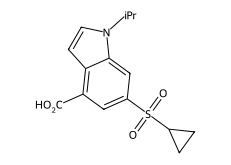 CC(C)n1ccc2c(C(=O)O)cc(S(=O)(=O)C3CC3)cc21